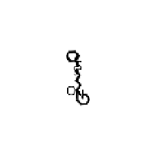 O=C(CCCSSc1ccccc1)N1CCCCC1